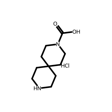 Cl.O=C(O)N1CCC2(CCNCC2)CC1